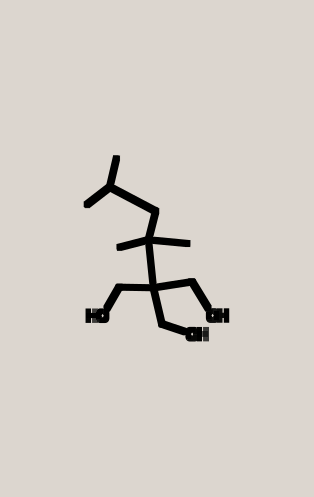 CC(C)CC(C)(C)C(CO)(CO)CO